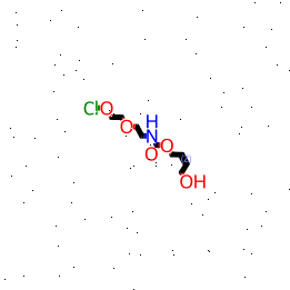 O=C(NCCOCCOCl)OC/C=C\CO